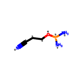 N#CCCOP(N)N